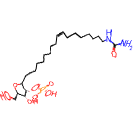 NC(=O)NCCCCCCC/C=C\CCCCCCCCC1O[C@H](CO)[C@@H](O)[C@H]1OP(=O)(O)O